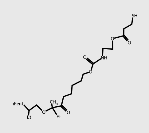 CCCCCC(CC)COC(C)(CC)C(=O)CCCCCOC(=O)NCCOC(=O)CCS